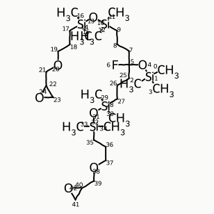 C[Si](C)(C)OC(F)(CCC[Si](C)(C)O[Si](C)(C)CCCOCC1CO1)CCC[Si](C)(C)O[Si](C)(C)CCCOCC1CO1